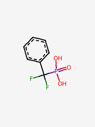 O=P(O)(O)C(F)(F)c1ccccc1